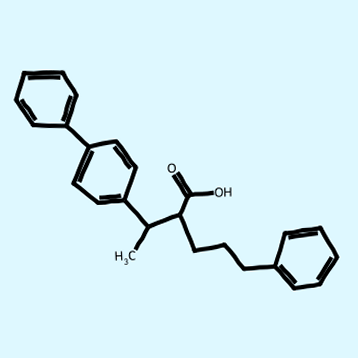 CC(c1ccc(-c2ccccc2)cc1)C(CCCc1ccccc1)C(=O)O